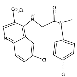 CCOC(=O)c1cnc2ccc(Cl)cc2c1NCC(=O)N(C)c1ccc(Cl)cc1